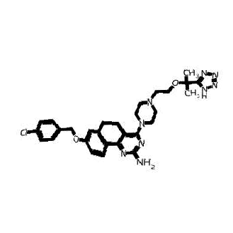 CC(C)(OCCN1CCN(c2nc(N)nc3c2CCc2cc(OCc4ccc(Cl)cc4)ccc2-3)CC1)c1nnn[nH]1